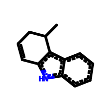 CC1CC=Cc2[nH]c3ccccc3c21